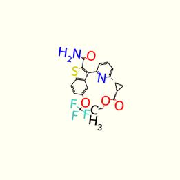 CCOC(=O)[C@@H]1C[C@H]1c1cccc(-c2c(C(N)=O)sc3ccc(OC(F)(F)F)cc23)n1